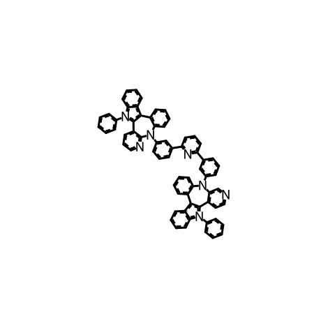 c1ccc(-n2c3c(c4ccccc42)-c2ccccc2N(c2cccc(-c4cccc(-c5cccc(N6c7ccccc7-c7c(n(-c8ccccc8)c8ccccc78)-c7cccnc76)c5)n4)c2)c2cnccc2-3)cc1